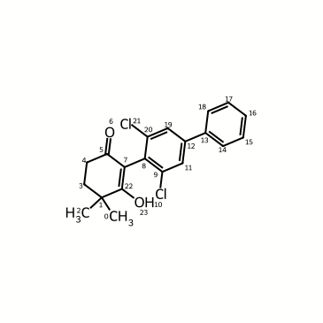 CC1(C)CCC(=O)C(c2c(Cl)cc(-c3ccccc3)cc2Cl)=C1O